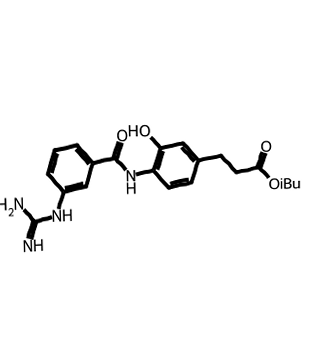 CC(C)COC(=O)CCc1ccc(NC(=O)c2cccc(NC(=N)N)c2)c(O)c1